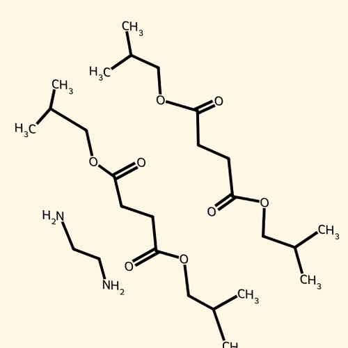 CC(C)COC(=O)CCC(=O)OCC(C)C.CC(C)COC(=O)CCC(=O)OCC(C)C.NCCN